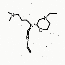 C=CCN=C=[N+](CCCN(C)C)C1CN(CC)CCO1